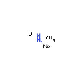 C.N.[Nb].[U]